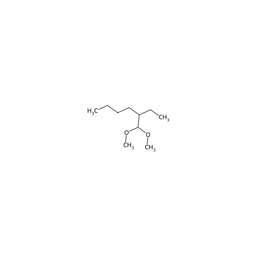 CCCCC(CC)C(OC)OC